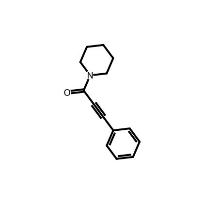 O=C(C#Cc1ccccc1)N1CCCCC1